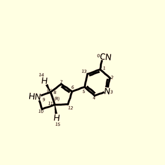 N#Cc1cncc(C2=C[C@H]3NC[C@H]3C2)c1